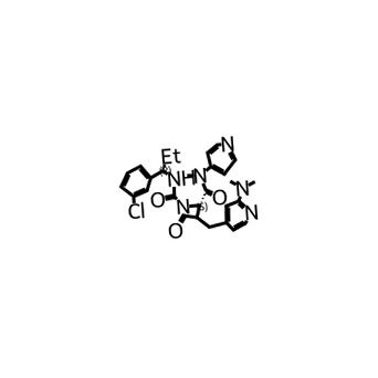 CC[C@@H](NC(=O)N1C(=O)C(Cc2ccnc(N(C)C)c2)[C@H]1C(=O)N(C)c1ccncc1)c1cccc(Cl)c1